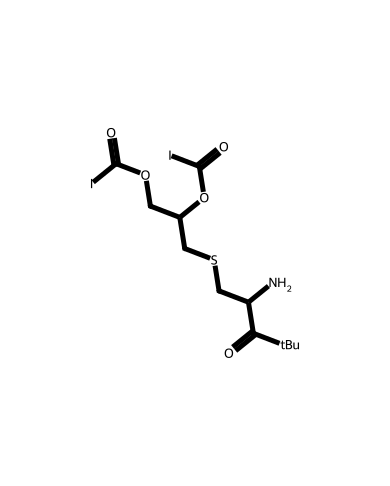 CC(C)(C)C(=O)C(N)CSCC(COC(=O)I)OC(=O)I